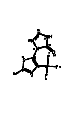 Cc1nc(C(F)(F)F)c(-n2nn[nH]c2=O)s1